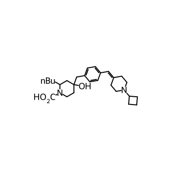 CCCCC1CC(O)(Cc2ccc(C=C3CCN(C4CCC4)CC3)cc2)CCN1C(=O)O